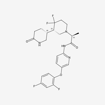 C[C@@H](C(=O)Nc1ccc(Oc2ccc(F)cc2F)cn1)N1CCC(F)(F)[C@@H]([C@H]2CCC(=O)NC2)C1